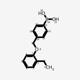 CCc1ccccc1OCc1ccc(B(O)O)cc1